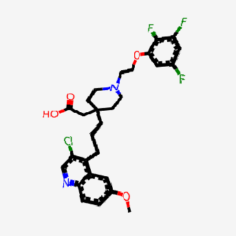 COc1ccc2ncc(Cl)c(CCCC3(CC(=O)O)CCN(CCOc4cc(F)cc(F)c4F)CC3)c2c1